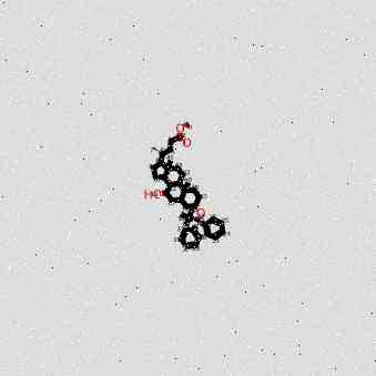 COC(=O)CC[C@@H](C)C1CCC2C3C(O)CC4CC(O[Si](c5ccccc5)(c5ccccc5)C(C)(C)C)CCC4(C)C3CCC21C